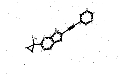 CC1(c2ncc3cc(C#Cc4cncnc4)[nH]c3n2)CC1